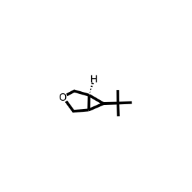 CC(C)(C)C1C2COC[C@H]21